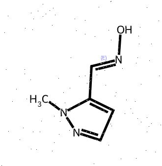 Cn1nccc1/C=N/O